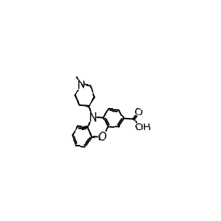 CN1CCC(N2c3ccccc3Oc3cc(C(=O)O)ccc32)CC1